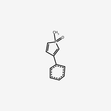 CP1(=O)C=CC(c2ccccc2)=C1